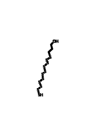 OCCCSSSSSSSSSSS